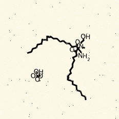 CCCCCCCC/C=C\CCCCCCCC(=O)C(CN)(C(=O)CCCCCCC/C=C\CCCCCCCC)N(C)CCO.COS(=O)(=O)O